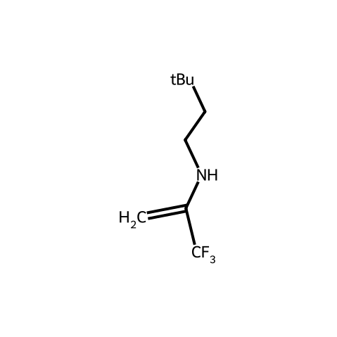 C=C(NCCC(C)(C)C)C(F)(F)F